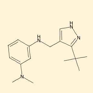 CN(C)c1cccc(NCc2c[nH]nc2C(C)(C)C)c1